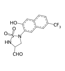 O=CC1CN(c2cc3cc(C(F)(F)F)ccc3cc2O)S(=O)(=O)N1